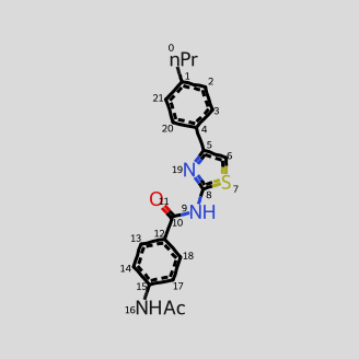 CCCc1ccc(-c2csc(NC(=O)c3ccc(NC(C)=O)cc3)n2)cc1